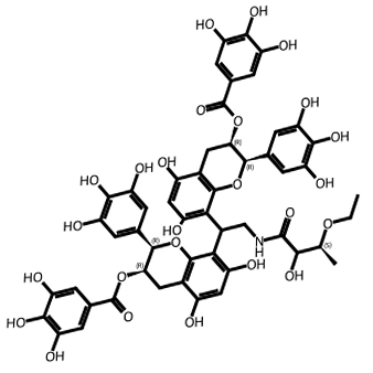 CCO[C@@H](C)C(O)C(=O)NCC(c1c(O)cc(O)c2c1O[C@H](c1cc(O)c(O)c(O)c1)[C@H](OC(=O)c1cc(O)c(O)c(O)c1)C2)c1c(O)cc(O)c2c1O[C@H](c1cc(O)c(O)c(O)c1)[C@H](OC(=O)c1cc(O)c(O)c(O)c1)C2